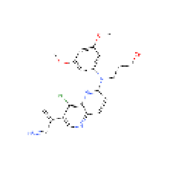 C=C(C=N)c1cnc2ccc(N(CCCO)c3cc(OC)cc(OC)c3)nc2c1Cl